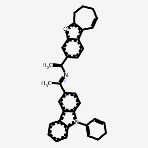 C=C(/N=C(\C)c1ccc2c(c1)c1ccccc1n2C1=CCCC=C1)c1ccc2c3c(oc2c1)CCCC=C3